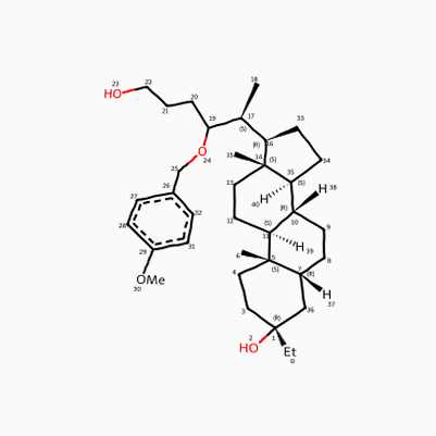 CC[C@@]1(O)CC[C@@]2(C)[C@H](CC[C@@H]3[C@@H]2CC[C@]2(C)[C@@H]([C@H](C)C(CCCO)OCc4ccc(OC)cc4)CC[C@@H]32)C1